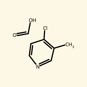 Cc1cnccc1Cl.O=CO